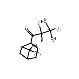 CC1(C)C2CCC(C(=O)C(F)(F)C(O)(O)C(F)(F)F)C1C2